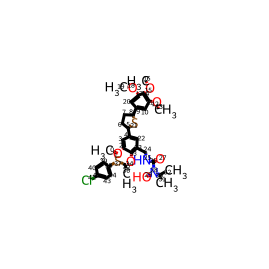 COc1cc(C2CCC(c3cc(OC)c(OC)c(OC)c3)S2)cc(CNC(=O)N(O)C(C)C)c1OC(C)Sc1ccc(Cl)cc1